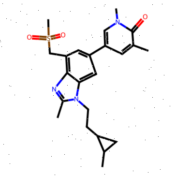 Cc1cc(-c2cc(CS(C)(=O)=O)c3nc(C)n(CCC4CC4C)c3c2)cn(C)c1=O